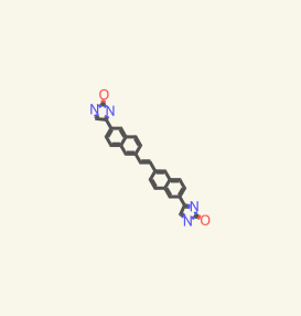 O=C1N=CC(c2ccc3cc(/C=C/c4ccc5cc(C6=NC(=O)N=C6)ccc5c4)ccc3c2)=N1